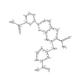 NC(=O)c1cc2ccc(-c3ccnc(C(=O)O)c3)cc2nc1Nc1cccc(C(=O)O)c1